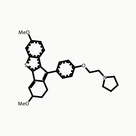 COc1ccc2c3c(sc2c1)C1=CC(OC)CCC1=C3c1ccc(OCCN2CCCC2)cc1